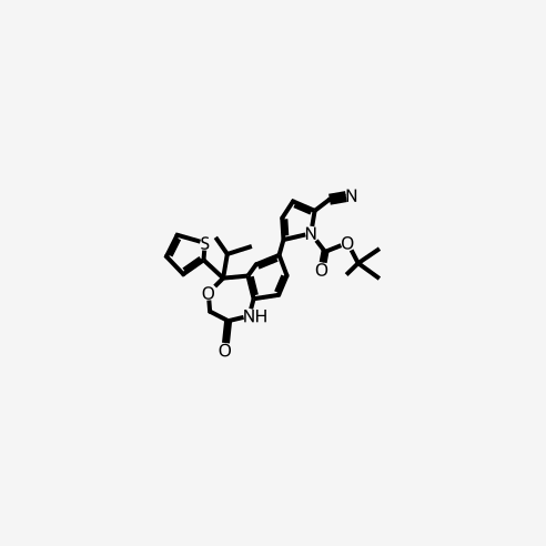 CC(C)C1(c2cccs2)OCC(=O)Nc2ccc(-c3ccc(C#N)n3C(=O)OC(C)(C)C)cc21